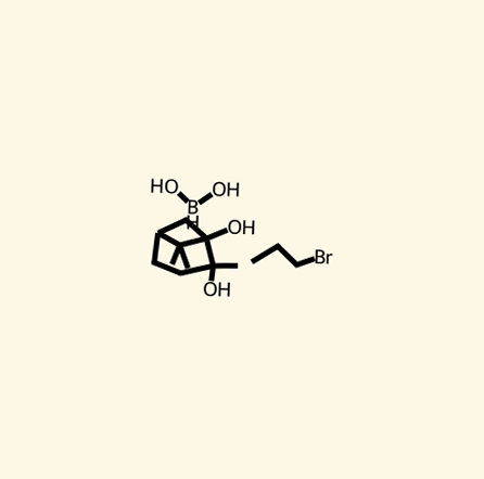 CC1(O)CCC2CC1(O)C2(C)C.CCCBr.OBO